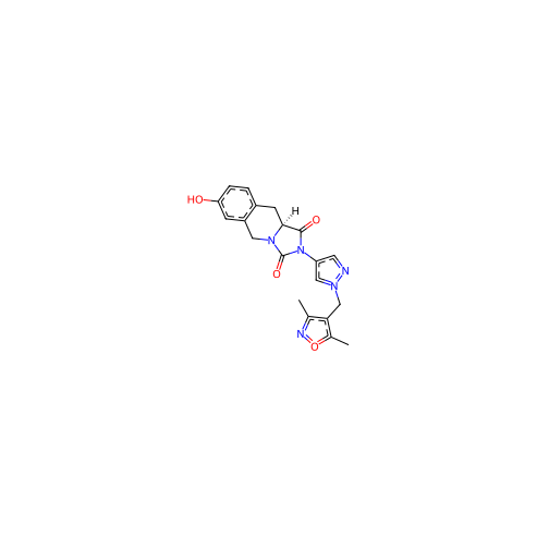 Cc1noc(C)c1Cn1cc(N2C(=O)[C@@H]3Cc4ccc(O)cc4CN3C2=O)cn1